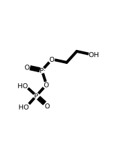 O=[P](OCCO)OP(=O)(O)O